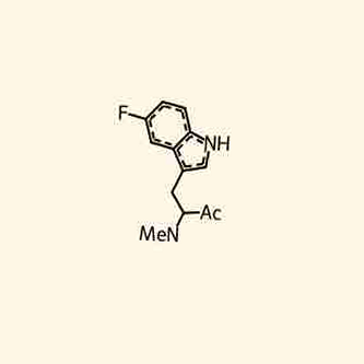 CNC(Cc1c[nH]c2ccc(F)cc12)C(C)=O